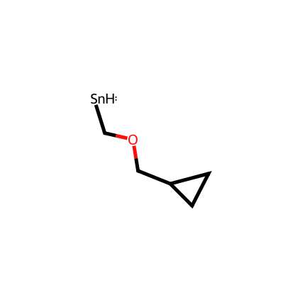 [SnH][CH2]OCC1CC1